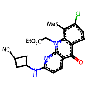 CCOC(=O)Cn1c2nc(NC3CC(C#N)C3)ccc2c(=O)c2ccc(Cl)c(SC)c21